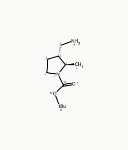 C[C@@H]1[C@@H](CN)CCN1C(=O)OC(C)(C)C